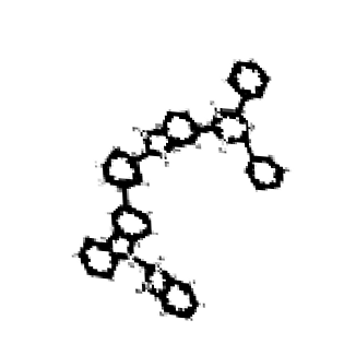 c1ccc(-c2nc(-c3ccccc3)nc(-c3ccc4oc(-c5cccc(-c6ccc7c(c6)c6ccccc6n7-c6nc7ccccc7s6)c5)nc4c3)n2)cc1